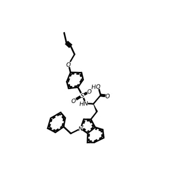 CC#CCOc1ccc(S(=O)(=O)N[C@H](Cc2cn(Cc3ccccc3)c3ccccc23)C(=O)O)cc1